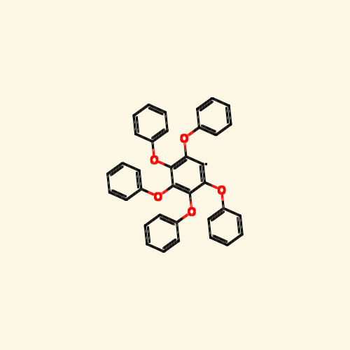 [c]1c(Oc2ccccc2)c(Oc2ccccc2)c(Oc2ccccc2)c(Oc2ccccc2)c1Oc1ccccc1